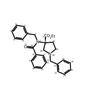 CCOC(=O)[C@@]1(N(Cc2ccccc2)C(=O)c2ccccc2)CCN(Cc2ccccc2)C1